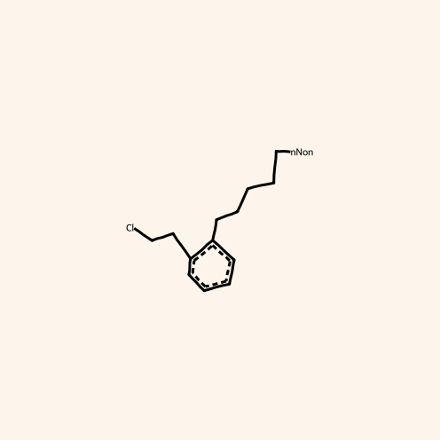 CCCCCCCCCCCCCCc1ccccc1CCCl